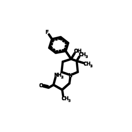 CC(CN1CCC(O)(c2ccc(F)cc2)C(C)(C)C1)C(N)C=O